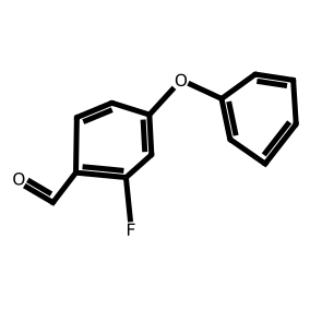 O=Cc1ccc(Oc2ccccc2)cc1F